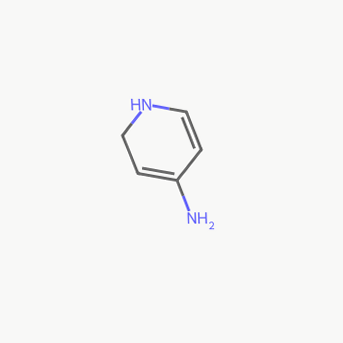 NC1=CCNC=C1